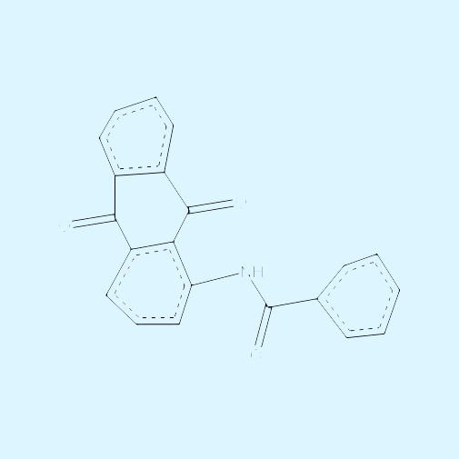 O=C(Nc1cccc2c1C(=O)c1ccc[c]c1C2=O)c1ccccc1